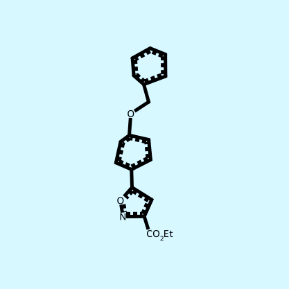 CCOC(=O)c1cc(-c2ccc(OCc3ccccc3)cc2)on1